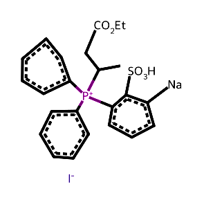 CCOC(=O)CC(C)[P+](c1ccccc1)(c1ccccc1)c1ccc[c]([Na])c1S(=O)(=O)O.[I-]